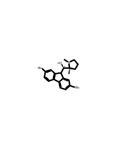 CN1CCC[C@]1(C)[C@H](O)C1c2cc(C(C)(C)C)ccc2-c2ccc(C(C)(C)C)cc21